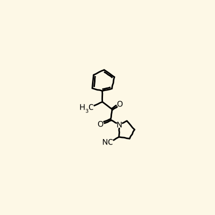 CC(C(=O)C(=O)N1CCCC1C#N)c1ccccc1